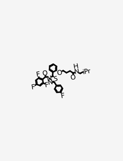 CC(C)CNC(=O)CCCOc1ccccc1C1SC(c2ccc(F)cc2)=NN1C(=O)c1c(F)cc(F)cc1F